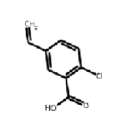 C=Cc1ccc(Cl)c(C(=O)O)c1